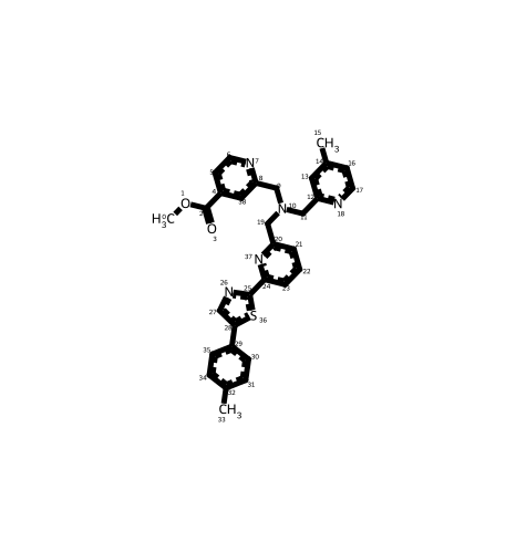 COC(=O)c1ccnc(CN(Cc2cc(C)ccn2)Cc2cccc(-c3ncc(-c4ccc(C)cc4)s3)n2)c1